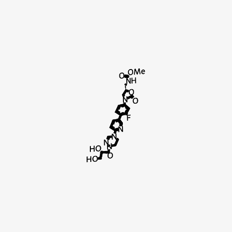 COC(=O)NC[C@H]1CN(c2ccc(-c3ccc(N4C=NN(C(=O)C(O)CO)CC4)nc3)c(F)c2)C(=O)O1